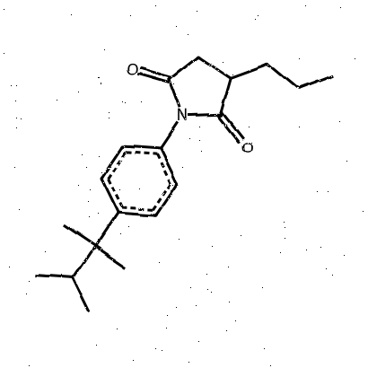 CCCC1CC(=O)N(c2ccc(C(C)(C)C(C)C)cc2)C1=O